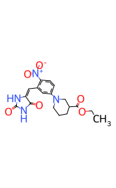 CCOC(=O)C1CCCN(c2ccc([N+](=O)[O-])c(/C=C3/NC(=O)NC3=O)c2)C1